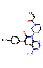 C=CC(=O)N1CCCC(n2c(=O)c(-c3ccc(C)cc3)cc3c(N)ncnc32)C1